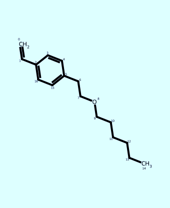 C=Cc1ccc(CCOCCCCCC)cc1